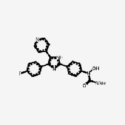 CNC(=O)N(O)c1ccc(-c2nc(-c3ccc(F)cc3)c(-c3ccncc3)[nH]2)cc1